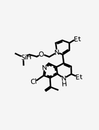 C=C(C)c1c(Cl)ncc2c1NC(CC)C=C2C1=CC(CC)C=CN1COCC[SiH](C)C